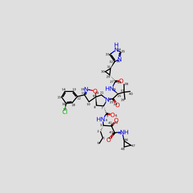 CCC[C@H](NC(=O)[C@@H]1C[C@]2(CC(c3cccc(Cl)c3)=NO2)CN1C(=O)[C@@H](NC(=O)[C@@H]1C[C@H]1c1c[nH]cn1)C(C)(C)C)C(=O)C(=O)NC1CC1